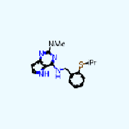 CNc1nc(NCc2ccccc2SC(C)C)c2[nH]ccc2n1